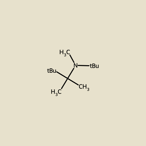 CN(C(C)(C)C)C(C)(C)C(C)(C)C